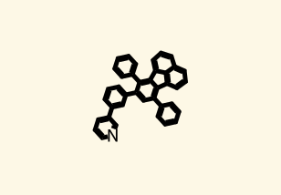 c1ccc(-c2cc(-c3cccc(-c4cccnc4)c3)c(-c3ccccc3)c3c2-c2cccc4cccc-3c24)cc1